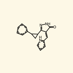 O=C1NN=C(C2CC2c2ccccc2)/C1=C\c1ccc[nH]1